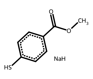 COC(=O)c1ccc(S)cc1.[NaH]